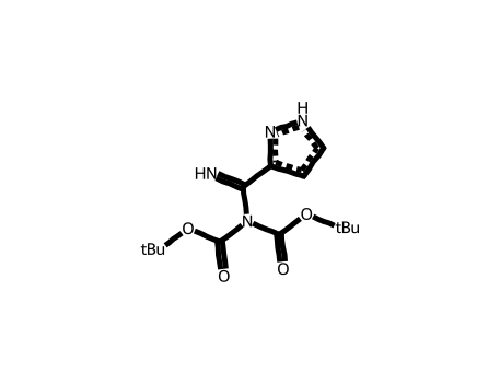 CC(C)(C)OC(=O)N(C(=N)c1cc[nH]n1)C(=O)OC(C)(C)C